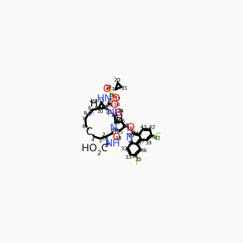 O=C(O)N[C@H]1CCCCC/C=C\[C@H]2C[C@@]2(C(=O)NS(=O)(=O)C2CC2)NC(=O)[C@@H]2C[C@@H](Oc3nc4ccc(F)cc4c4cc(F)ccc34)CN2C1=O